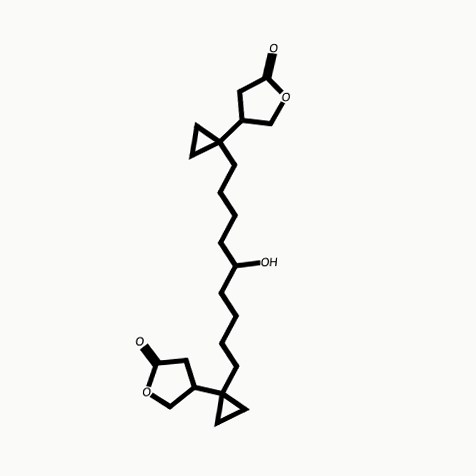 O=C1CC(C2(CCCCC(O)CCCCC3(C4COC(=O)C4)CC3)CC2)CO1